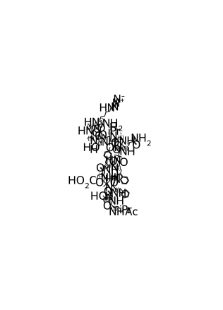 CC(=O)N[C@@H](CC(C)C)C(=O)N[C@H](C(=O)N[C@@H](Cc1ccccc1)C(=O)NC(C)(C)C(=O)N[C@@H](CCC(=O)O)C(=O)N[C@@H](Cc1ccc(O)cc1)C(=O)N[C@@H](Cc1c[nH]c2ccccc12)C(=O)NC(C)(C)C(=O)N[C@@H](CCC(N)=O)C(=O)N[C@@H](CC(C)C)C(=O)NC(C)(C)C(=O)N[C@@H](CO)C(=O)N[C@@H](C)C(=O)N[C@@H](C)C(=O)N[C@@H](CCCCNN=[N+]=[N-])C(N)=O)[C@@H](C)O